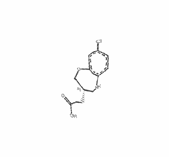 O=C(O)C[C@@H]1COc2cc(Cl)ccc2N1